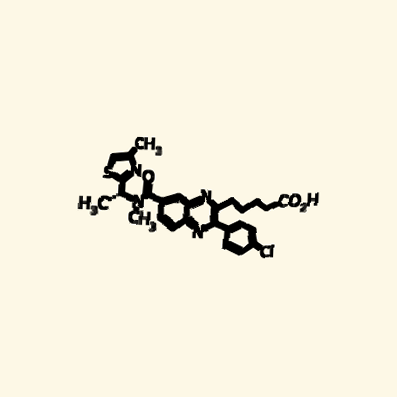 Cc1csc([C@@H](C)N(C)C(=O)c2ccc3nc(-c4ccc(Cl)cc4)c(CCCCC(=O)O)nc3c2)n1